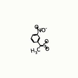 CC(c1cccc([N+](=O)[O-])c1)=S(=O)=O